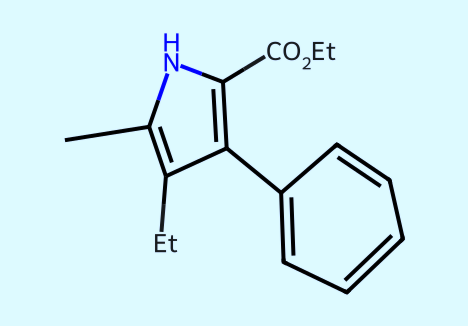 CCOC(=O)c1[nH]c(C)c(CC)c1-c1ccccc1